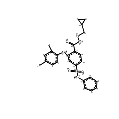 Cc1cc(I)ccc1Nc1cc(S(=O)(=O)Nc2ccccc2)ccc1C(=O)NOCC1CC1